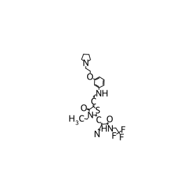 CCn1c(=C=C(C#N)C(=O)NCC(F)(F)F)sc(=C=CNc2cccc(OCCN3CCCC3)c2)c1=O